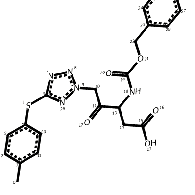 Cc1ccc(Sc2nnn(CC(=O)C(CC(=O)O)NC(=O)OCc3ccccc3)n2)cc1